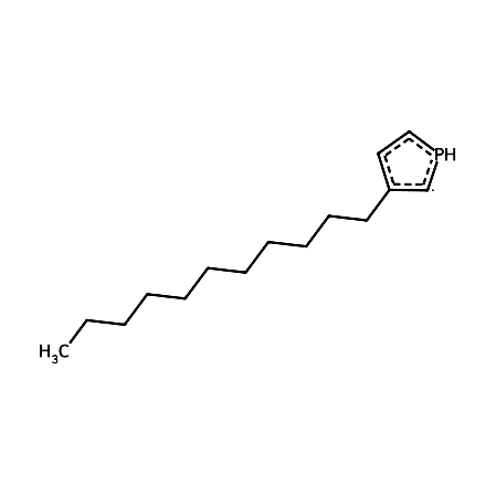 CCCCCCCCCCCc1[c][pH]cc1